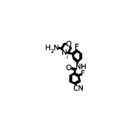 C[C@@]1(c2cc(NC(=O)c3ccc(C#N)cc3F)ccc2F)COCC(N)=N1